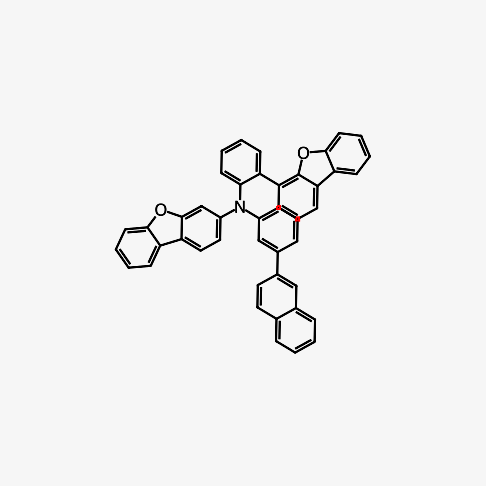 c1cc(-c2ccc3ccccc3c2)cc(N(c2ccc3c(c2)oc2ccccc23)c2ccccc2-c2cccc3c2oc2ccccc23)c1